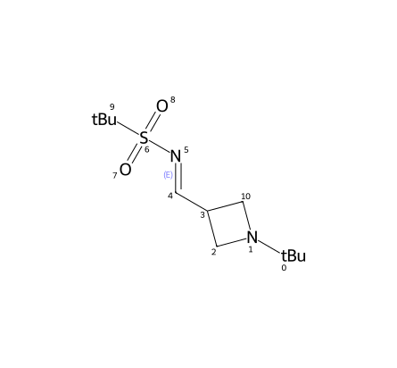 CC(C)(C)N1CC(/C=N/S(=O)(=O)C(C)(C)C)C1